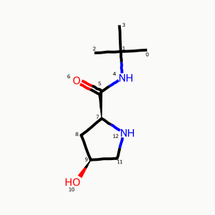 CC(C)(C)NC(=O)[C@@H]1C[C@H](O)CN1